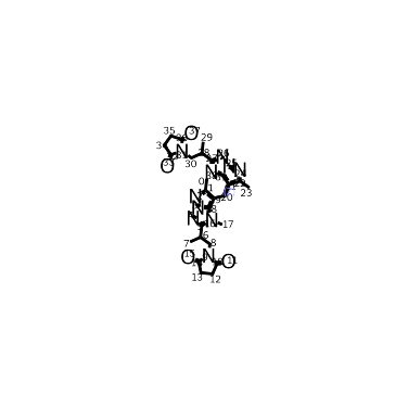 Cc1nn2nc(C(C)CN3C(=O)CCC3=O)n(C)c2c1/C=c1/c(C)nn2nc(C(C)CN3C(=O)CCC3=O)nc12